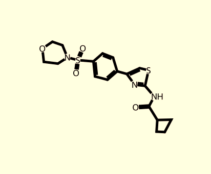 O=C(Nc1nc(-c2ccc(S(=O)(=O)N3CCOCC3)cc2)cs1)C1CCC1